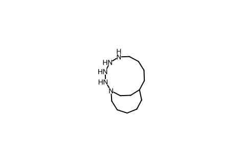 C1CCC2CCCCNNNNN(CC1)CC2